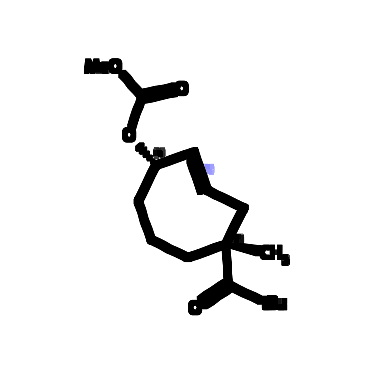 COC(=O)O[C@@H]1/C=C/C[C@](C)(C(=O)C(C)(C)C)CCC1